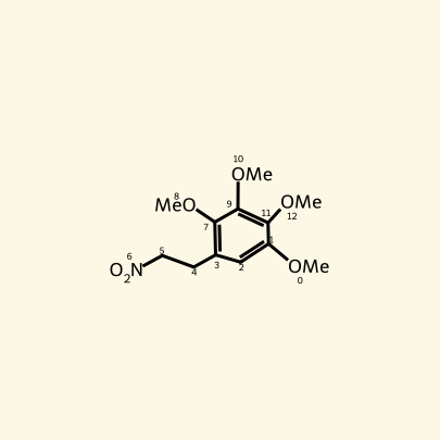 COc1cc(CC[N+](=O)[O-])c(OC)c(OC)c1OC